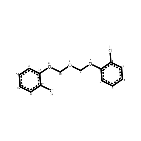 Clc1ccccc1OCOCOc1ccccc1Cl